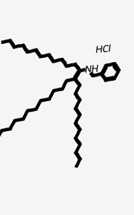 CCCCCCCCCCCCC(CCCCCCCCCCCC)=C(CCCCCCCCCCCC)NCc1ccccc1.Cl